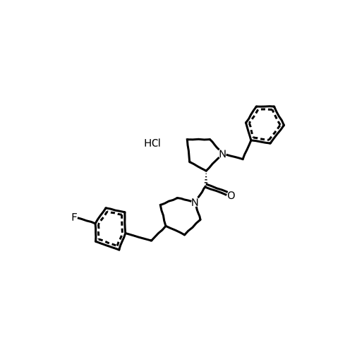 Cl.O=C([C@@H]1CCCN1Cc1ccccc1)N1CCC(Cc2ccc(F)cc2)CC1